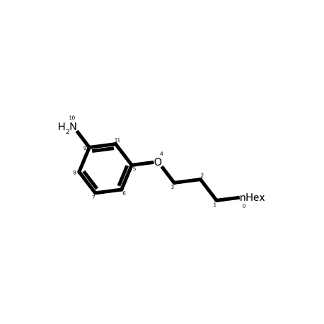 CCCCCCCCCOc1cccc(N)c1